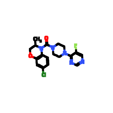 CC1COc2cc(Cl)ccc2N1C(=O)N1CCN(c2ncncc2F)CC1